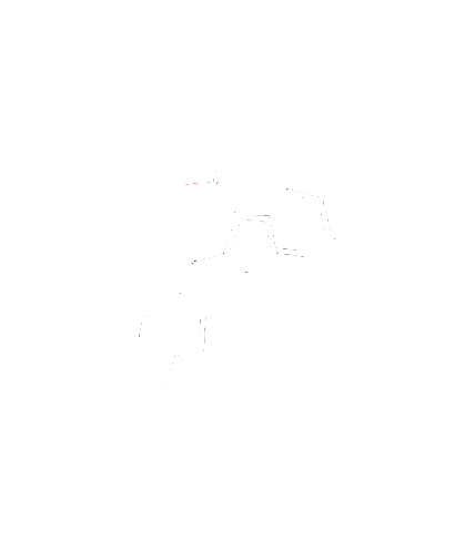 CC(C)(C)OC(=O)n1c(C(=O)c2ccc(I)cc2)cc2cnccc21